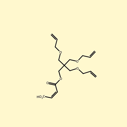 C=CCOCC(COCC=C)(COCC=C)COC(=O)/C=C\C(=O)O